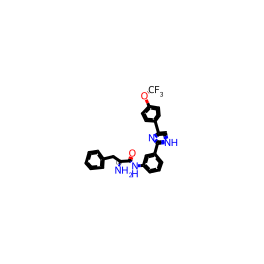 N[C@@H](Cc1ccccc1)C(=O)Nc1cccc(-c2nc(-c3ccc(OC(F)(F)F)cc3)c[nH]2)c1